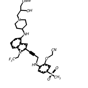 COCC(O)CN1CCC(Nc2cccc3c2cc(C#CCNc2ccc(S(C)(=O)=O)cc2OCC#N)n3CC(F)(F)F)CC1